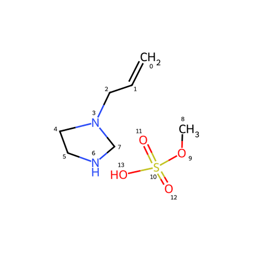 C=CCN1CCNC1.COS(=O)(=O)O